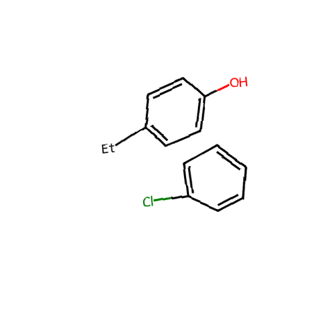 CCc1ccc(O)cc1.Clc1ccccc1